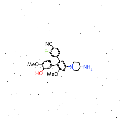 COc1ccc(-c2c(OC)cc(N3CCC(N)CC3)cc2-c2ccc(C#N)c(F)c2)cc1O